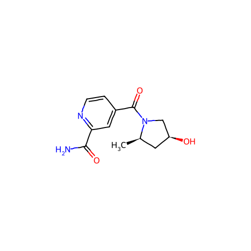 C[C@@H]1C[C@H](O)CN1C(=O)c1ccnc(C(N)=O)c1